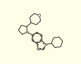 c1cc2c(cc1N1CCCC1C1CCOCC1)ncn2C1CCCCC1